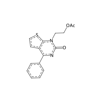 CC(=O)OCCn1c(=O)nc(-c2ccccc2)c2ccsc21